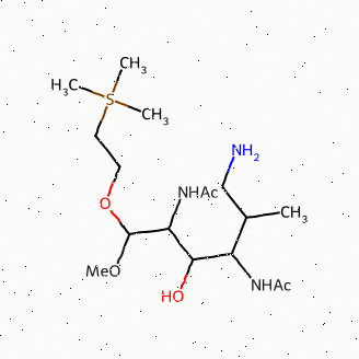 COC(OCCS(C)(C)C)C(NC(C)=O)C(O)C(NC(C)=O)C(C)CN